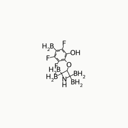 Bc1c(F)c(O)c(OC2C(B)(B)NC2(B)B)c(F)c1F